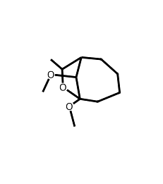 COC1C2CCCCC1(OC)OC2C